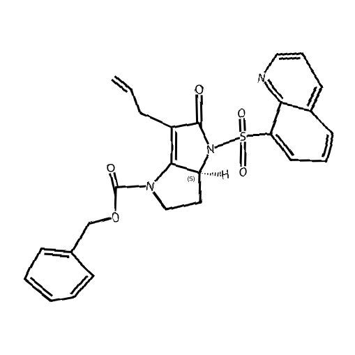 C=CCC1=C2[C@H](CCN2C(=O)OCc2ccccc2)N(S(=O)(=O)c2cccc3cccnc23)C1=O